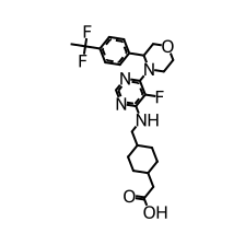 CC(F)(F)c1ccc(C2COCCN2c2ncnc(NCC3CCC(CC(=O)O)CC3)c2F)cc1